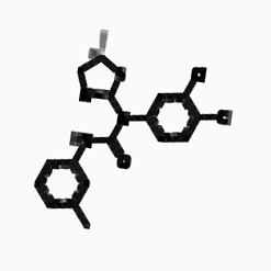 Cc1cccc(NC(=O)N(C2=NC[C@H](C)S2)c2ccc(Cl)c(Cl)c2)c1